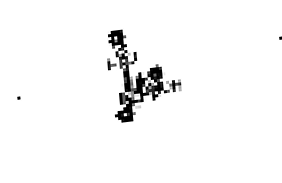 CC(OP(=O)(O)C(CCCCNC(=O)OCc1ccccc1)NC(=O)c1ccccc1)C(=O)N1CCC[C@H]1C(=O)O